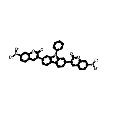 CCN(CC)c1ccc2cc(-c3ccc4c5ccc(-c6cc7ccc(N(CC)CC)cc7oc6=O)cc5n(-c5ccccc5)c4c3)c(=O)oc2c1